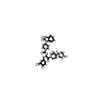 C[N+]1(C2CCN(C(=O)[C@@H](Cc3ccc(Cl)c(Cl)c3)OC(=O)N3CCC(n4c(=O)[nH]c5ccccc54)CC3)CC2)CCNCC1